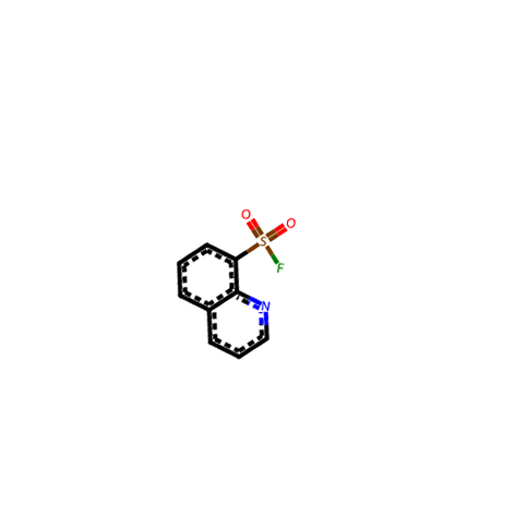 O=S(=O)(F)c1cccc2cccnc12